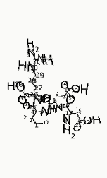 CC[C@H](C)[C@H](NC(=O)[C@H](CCC(=O)O)NC(=O)[C@@H](N)CC(=O)O)C(=O)N[C@@H](CCCNC(=N)N)C(=O)O